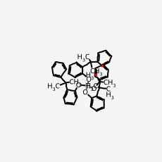 CC(C)[O][Ti]([O]c1ccccc1C(C)(C)c1ccccc1)([O]c1ccccc1C(C)(C)c1ccccc1)[O]c1ccccc1C(C)(C)c1ccccc1